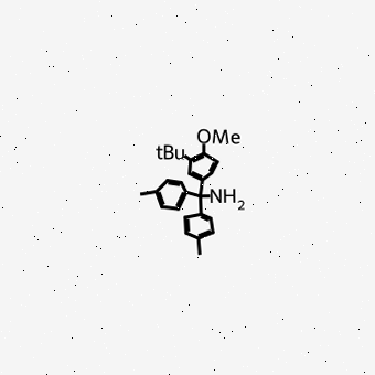 COc1ccc(C(N)(c2ccc(C)cc2)c2ccc(C)cc2)cc1C(C)(C)C